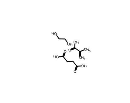 C=C(C)C(=O)O.O=C(O)CCC(=O)O.OCCO